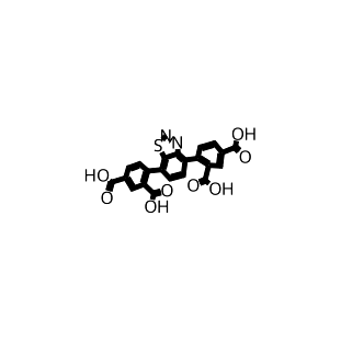 O=C(O)c1ccc(-c2ccc(-c3ccc(C(=O)O)cc3C(=O)O)c3snnc23)c(C(=O)O)c1